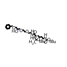 CC(N[C@@H](CCCCNC(=O)OC(C)(C)C)C(=O)NCCOCCO/C=C(\O)COCc1ccccc1)OC(C)(C)C